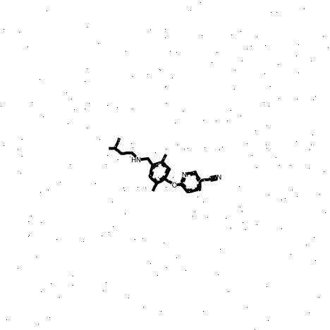 Cc1cc(Oc2ccc(C#N)cn2)c(C)cc1CNCCC(C)C